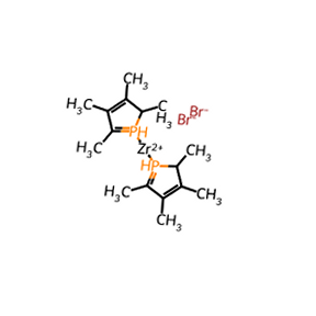 CC1=C(C)C(C)[PH]([Zr+2][PH]2=C(C)C(C)=C(C)C2C)=C1C.[Br-].[Br-]